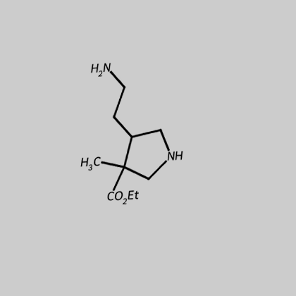 CCOC(=O)C1(C)CNCC1CCN